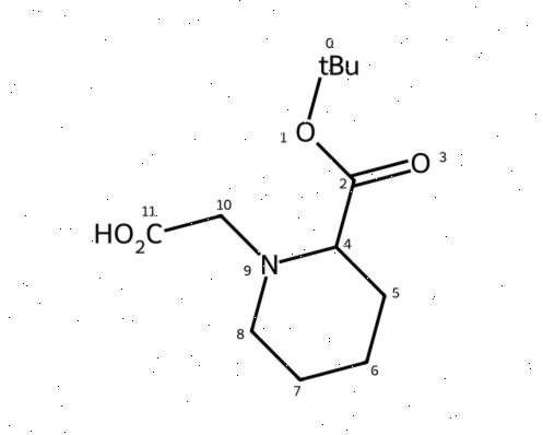 CC(C)(C)OC(=O)C1CCCCN1CC(=O)O